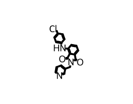 O=C1c2cccc(Nc3ccc(Cl)cc3)c2C(=O)N1Cc1cccnc1